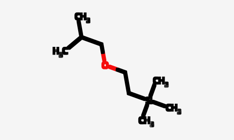 CC(C)COCC[Si](C)(C)C